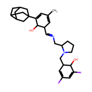 CC1=CC(/C=N/CC2CCCN2CC2C=C(I)C=C(I)C2O)C(O)C(C23CC4CC(C2)C(C4)C3)=C1